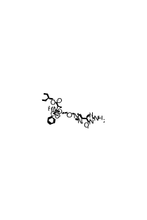 CCC(CC)COC(=O)C(C)NP(=O)(OCCOCn1cnc(-c2cnc(N)nc2OC)c1)Oc1ccccc1